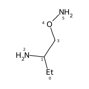 CCC(N)CON